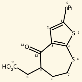 CCCc1cc2c(s1)SCCC(CC(=O)O)C2=O